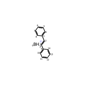 B.C(=C\c1ccccc1)/c1ccccc1